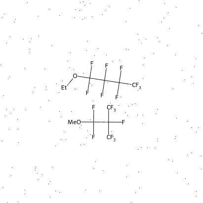 CCOC(F)(F)C(F)(F)C(F)(F)C(F)(F)F.COC(F)(F)C(F)(C(F)(F)F)C(F)(F)F